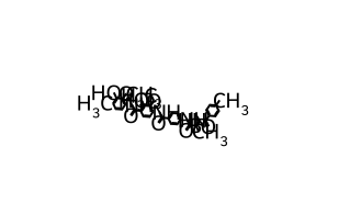 COc1c(NC(=O)c2ccc(NC(=O)c3ccc(NC(=O)B(C)NC(=O)c4ccc(C)cc4)cc3)c(OC)c2O)ccc(C)c1O